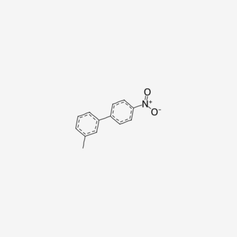 Cc1cccc(-c2ccc([N+](=O)[O-])cc2)c1